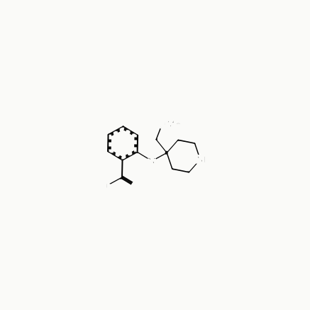 CCC(=O)c1ccccc1NC1(COC)CCNCC1